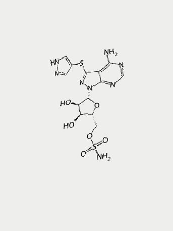 Nc1ncnc2c1c(Sc1cn[nH]c1)nn2[C@@H]1O[C@H](COS(N)(=O)=O)[C@@H](O)[C@H]1O